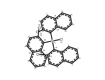 Clc1ccc2ccccc2c1[Si](Cl)(c1c(Cl)ccc2ccccc12)c1c(Cl)ccc2ccccc12